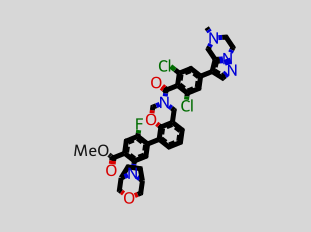 COC(=O)c1cc(F)c(-c2cccc3c2OCN(C(=O)c2c(Cl)cc(-c4cnn5c4CN(C)CC5)cc2Cl)C3)cc1N1C2CCC1COC2